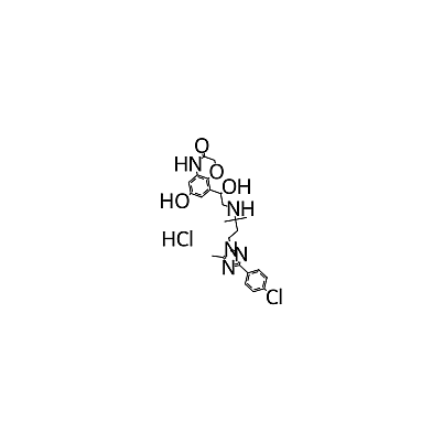 Cc1nc(-c2ccc(Cl)cc2)nn1CCC(C)(C)NC[C@H](O)c1cc(O)cc2c1OCC(=O)N2.Cl